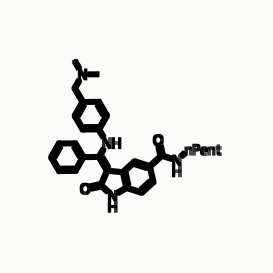 CCCCCNC(=O)c1ccc2c(c1)C(=C(Nc1ccc(CN(C)C)cc1)c1ccccc1)C(=O)N2